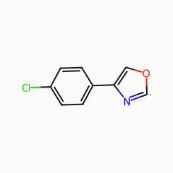 Clc1ccc(-c2co[c]n2)cc1